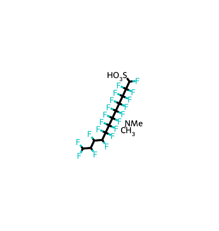 CNC.O=S(=O)(O)C(F)C(F)(F)C(F)(F)C(F)(F)C(F)(F)C(F)(F)C(F)(F)C(F)(F)C(F)C(F)C(F)C(F)F